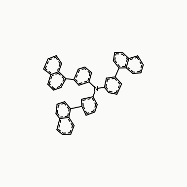 c1cc(-c2cccc3ccccc23)cc(N(c2cccc(-c3cccc4ccccc34)c2)c2cccc(-c3cccc4ccccc34)c2)c1